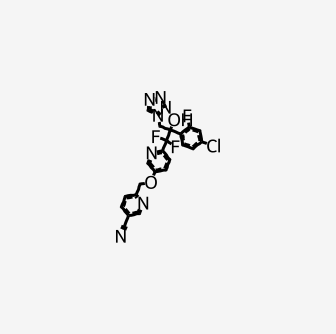 N#Cc1ccc(COc2ccc(C(F)(F)C(O)(Cn3cnnn3)c3ccc(Cl)cc3F)nc2)nc1